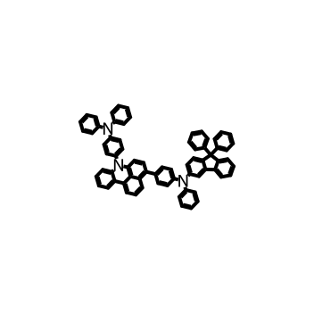 c1ccc(N(c2ccccc2)c2ccc(N3c4ccccc4-c4cccc5c(-c6ccc(N(c7ccccc7)c7ccc8c(c7)-c7ccccc7C8(c7ccccc7)c7ccccc7)cc6)ccc3c45)cc2)cc1